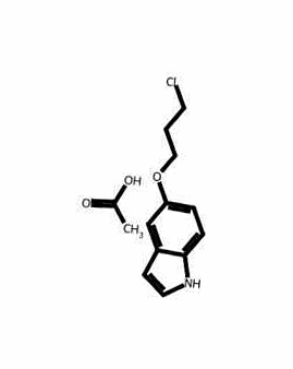 CC(=O)O.ClCCCOc1ccc2[nH]ccc2c1